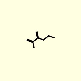 C=C(C)C(=C)CCC